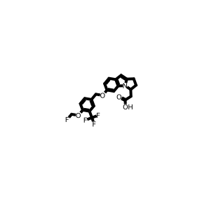 O=C(O)CC1CCc2cc3ccc(OCc4ccc(OCF)c(C(F)(F)F)c4)cc3n21